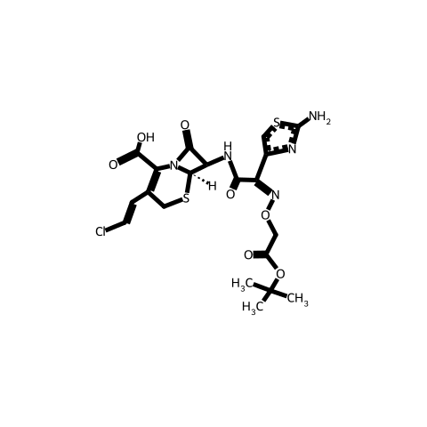 CC(C)(C)OC(=O)CO/N=C(\C(=O)NC1C(=O)N2C(C(=O)O)=C(/C=C/Cl)CS[C@H]12)c1csc(N)n1